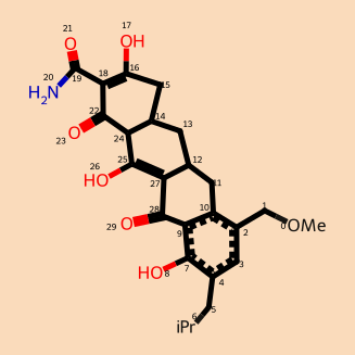 COCc1cc(CC(C)C)c(O)c2c1CC1CC3CC(O)=C(C(N)=O)C(=O)C3C(O)=C1C2=O